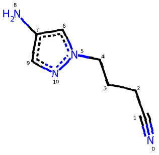 N#CCCCn1cc(N)cn1